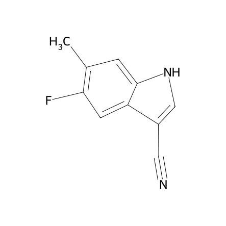 Cc1cc2[nH]cc(C#N)c2cc1F